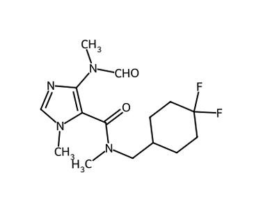 CN(CC1CCC(F)(F)CC1)C(=O)c1c(N(C)C=O)ncn1C